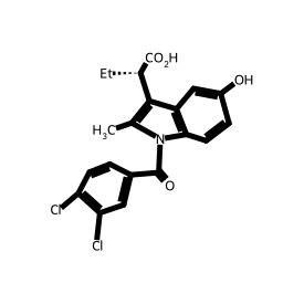 CC[C@H](C(=O)O)c1c(C)n(C(=O)c2ccc(Cl)c(Cl)c2)c2ccc(O)cc12